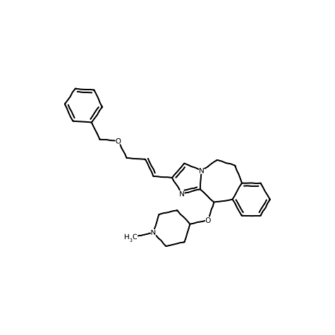 CN1CCC(OC2c3ccccc3CCn3cc(C=CCOCc4ccccc4)nc32)CC1